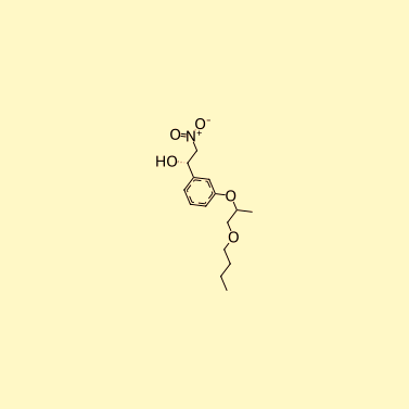 CCCCOCC(C)Oc1cccc([C@H](O)C[N+](=O)[O-])c1